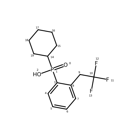 O=P(O)(c1ccccc1CC(F)(F)F)C1CCCCC1